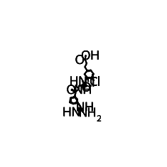 N=C(N)Nc1cccc(C(=O)NCC(=O)NC2(Cl)CC(CCC(=O)O)=CC=C2Cl)c1